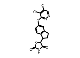 O=C1NC(=O)C(C2CCc3cc(Oc4nncc(Cl)c4Cl)ccc32)S1